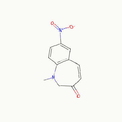 CN1CC(=O)C=Cc2cc([N+](=O)[O-])ccc21